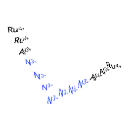 [Al+3].[Al+3].[Al+3].[N-3].[N-3].[N-3].[N-3].[N-3].[N-3].[N-3].[Ru+4].[Ru+4].[Ru+4]